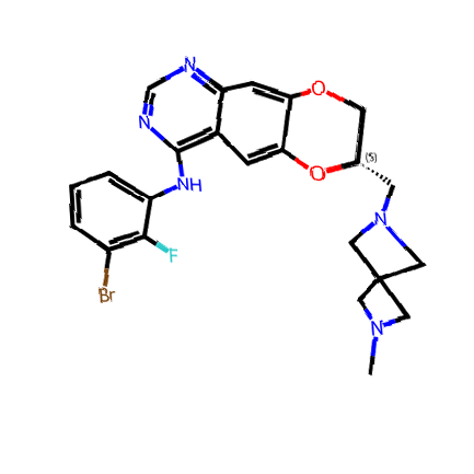 CN1CC2(C1)CN(C[C@H]1COc3cc4ncnc(Nc5cccc(Br)c5F)c4cc3O1)C2